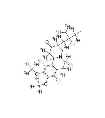 [2H]c1c(OC([2H])([2H])[2H])c(OC([2H])([2H])[2H])c([2H])c2c1C([2H])([2H])C([2H])([2H])N1CC([2H])(C([2H])([2H])C([2H])(C([2H])[2H])C([2H])([2H])C)C(=O)C([2H])([2H])C21[2H]